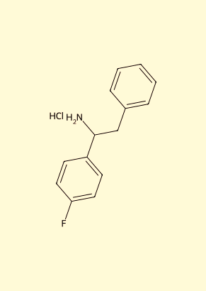 Cl.NC(Cc1ccccc1)c1ccc(F)cc1